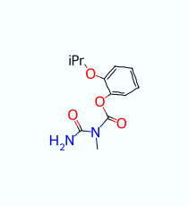 CC(C)Oc1ccccc1OC(=O)N(C)C(N)=O